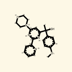 COc1ccc(C(C)(S)c2cc(N3CCOCC3)nc(-c3ccccn3)n2)cc1